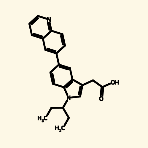 CCC(CC)n1cc(CC(=O)O)c2cc(-c3ccc4ncccc4c3)ccc21